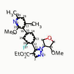 CCOC(=O)c1cnn(C2COCC2OC)c1-c1ccc(-c2c(C)cc(C)nc2OC)cc1F